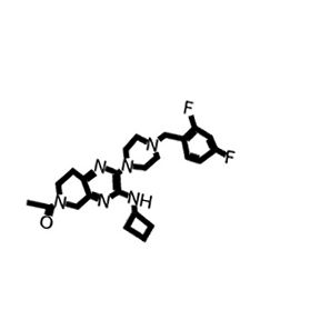 CC(=O)N1CCc2nc(N3CCN(Cc4ccc(F)cc4F)CC3)c(NC3CCC3)nc2C1